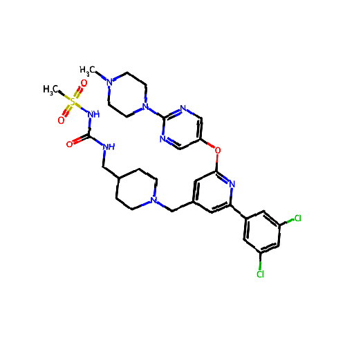 CN1CCN(c2ncc(Oc3cc(CN4CCC(CNC(=O)NS(C)(=O)=O)CC4)cc(-c4cc(Cl)cc(Cl)c4)n3)cn2)CC1